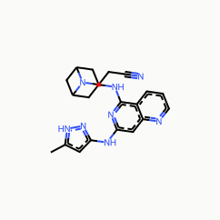 Cc1cc(Nc2cc3ncccc3c(NC3CC4CC(C3)N4CCC#N)n2)n[nH]1